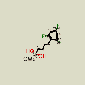 CO[Si](O)(O)CCCCc1c(F)cc(F)cc1F